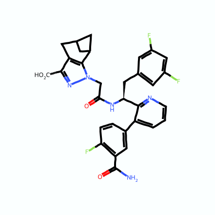 NC(=O)c1cc(-c2cccnc2[C@H](Cc2cc(F)cc(F)c2)NC(=O)Cn2nc(C(=O)O)c3c2C2CC(C3)C2)ccc1F